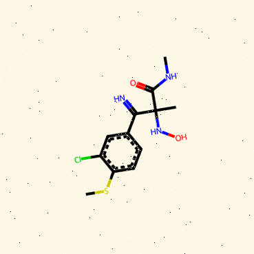 CNC(=O)C(C)(NO)C(=N)c1ccc(SC)c(Cl)c1